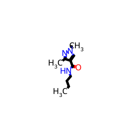 CCCCNC(=O)c1cn(C)nc1C